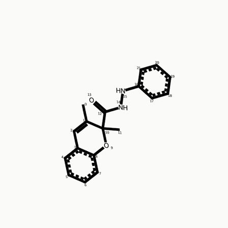 CC1=Cc2ccccc2OC1(C)C(=O)NNc1ccccc1